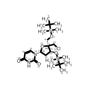 CC(C)(C)[Si](C)(C)OC[C@@]1(CCl)O[C@@H](n2ccc(=O)[nH]c2=O)C[C@@H]1O[Si](C)(C)C(C)(C)C